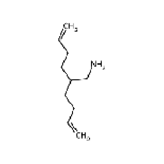 C=CCCC(CN)CCC=C